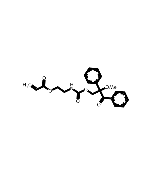 C=CC(=O)OCCNC(=O)OCC(OC)(C(=O)c1ccccc1)c1ccccc1